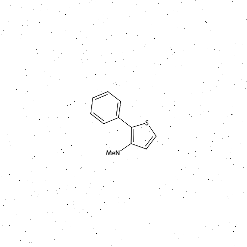 CNc1ccsc1-c1ccccc1